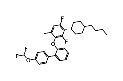 CCCC[C@H]1CC[C@H](c2c(F)cc(C)c(Oc3ccccc3-c3ccc(OC(F)F)cc3)c2F)CC1